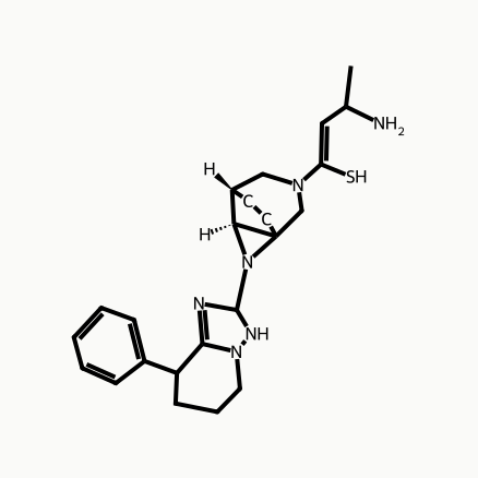 CC(N)/C=C(\S)N1C[C@@H]2CCC3(C1)[C@H]2N3C1N=C2C(c3ccccc3)CCCN2N1